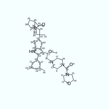 COC(CN1CCN(C(=O)N2CCOCC2)CC1)c1c(-c2cc(C)cc(C)c2)[nH]c2sc(C(C)(C)CC3C4CCC3C(=O)N4)cc12